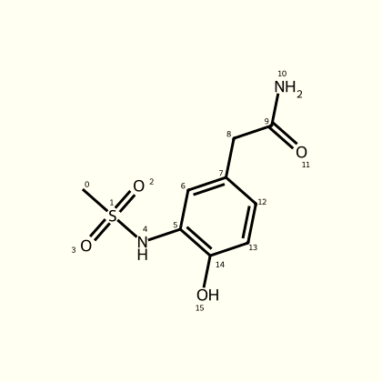 CS(=O)(=O)Nc1cc(CC(N)=O)ccc1O